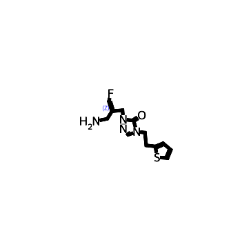 NC/C(=C/F)Cn1ncn(CCc2cccs2)c1=O